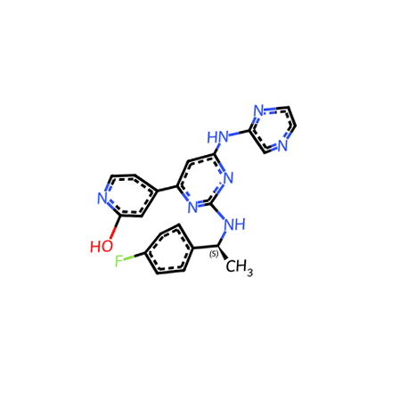 C[C@H](Nc1nc(Nc2cnccn2)cc(-c2ccnc(O)c2)n1)c1ccc(F)cc1